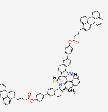 CC1=C2CCc3cc(-c4ccc(OC(=O)CCCc5ccc6c7c(cccc57)C5=CC=CC7=CC=CC6C75)cc4)ccc3C2=[N+]([BH-](F)F)/C1=C(\c1[nH]c2c(c1C)CCc1cc(-c3ccc(OC(=O)CCCc4ccc5c6c(cccc46)C4=C6C(=CC=CC65)CC=C4)cc3)ccc1-2)c1c(C)cccc1C